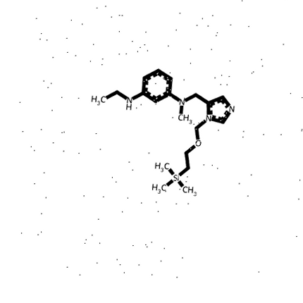 CCNc1cccc(N(C)Cc2cncn2COCC[Si](C)(C)C)c1